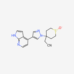 N#CCC1(n2cc(-c3ccnc4[nH]ccc34)cn2)CC[S+]([O-])CC1